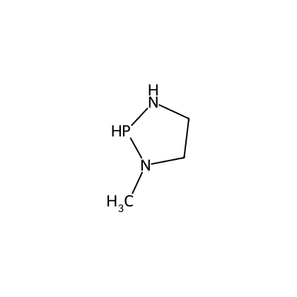 CN1CCNP1